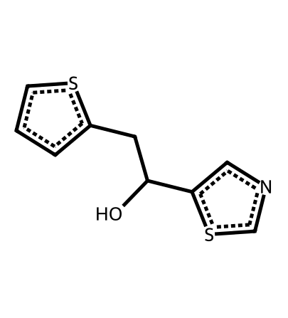 OC(Cc1cccs1)c1cncs1